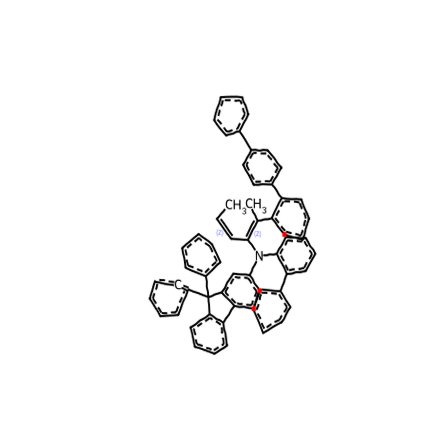 C/C=C\C(=C(/C)c1ccccc1-c1ccc(-c2ccccc2)cc1)N(c1ccc2c(c1)C(c1ccccc1)(c1ccccc1)c1ccccc1-2)c1ccccc1-c1ccccc1